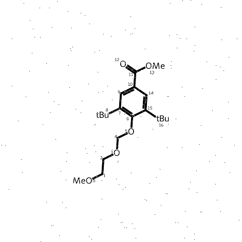 COCCOCOc1c(C(C)(C)C)cc(C(=O)OC)cc1C(C)(C)C